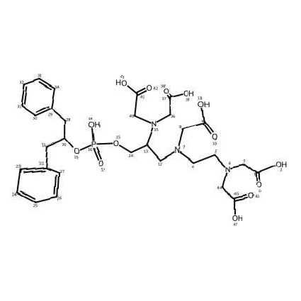 O=C(O)CN(CCN(CC(=O)O)CC(COP(=O)(O)OC(Cc1ccccc1)Cc1ccccc1)N(CC(=O)O)CC(=O)O)CC(=O)O